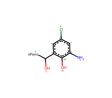 CCCCCC(O)c1cc(Cl)cc(N)c1O